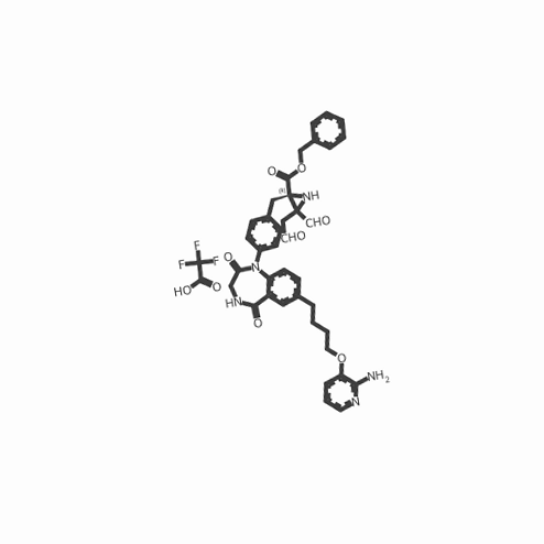 Nc1ncccc1OCCCCc1ccc2c(c1)C(=O)NCC(=O)N2c1ccc(C[C@@]2(C(=O)OCc3ccccc3)NC2(C=O)CC=O)cc1.O=C(O)C(F)(F)F